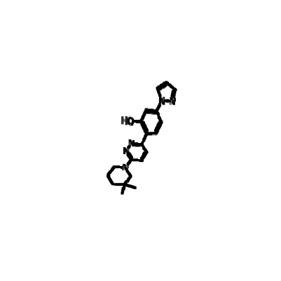 CC1(C)CCCN(c2ccc(-c3ccc(-n4cccn4)cc3O)nn2)C1